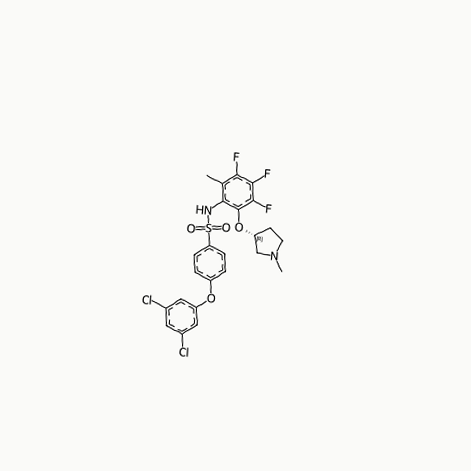 Cc1c(F)c(F)c(F)c(O[C@@H]2CCN(C)C2)c1NS(=O)(=O)c1ccc(Oc2cc(Cl)cc(Cl)c2)cc1